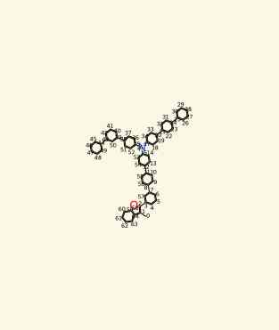 Cc1c(-c2cccc(-c3ccc(-c4ccc(N(c5ccc(-c6ccc(-c7ccccc7)cc6)cc5)c5ccc(-c6cccc(-c7ccccc7)c6)cc5)cc4)cc3)c2)oc2ccccc12